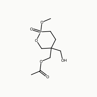 COP1(=O)CCC(CO)(COC(C)=O)CO1